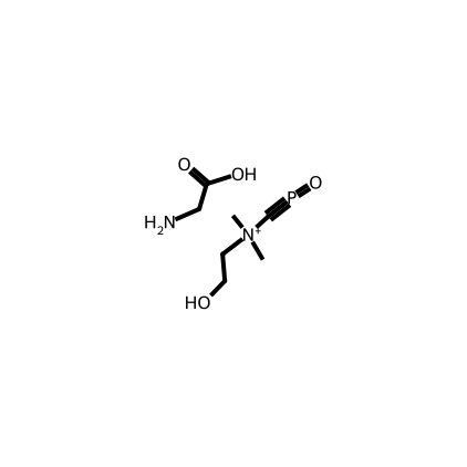 C[N+](C)(C#P=O)CCO.NCC(=O)O